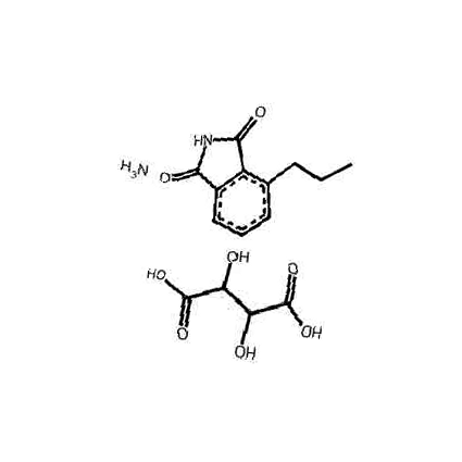 CCCc1cccc2c1C(=O)NC2=O.N.O=C(O)C(O)C(O)C(=O)O